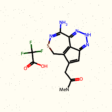 CNC(=O)Cc1cc2n[nH]nc3c-2c1CSN=C3N.O=C(O)C(F)(F)F